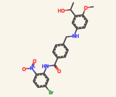 COc1ccc(NCc2ccc(C(=O)Nc3cc(Br)ccc3[N+](=O)[O-])cc2)cc1C(C)O